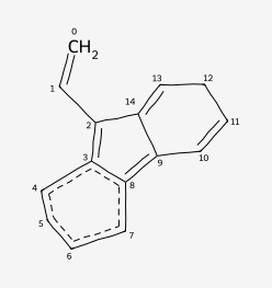 C=CC1=c2ccccc2=C2C=CCC=C12